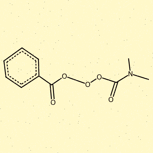 CN(C)C(=O)OOOC(=O)c1ccccc1